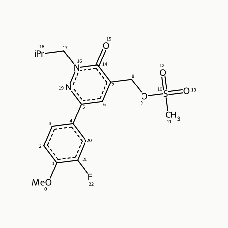 COc1ccc(-c2cc(COS(C)(=O)=O)c(=O)n(CC(C)C)n2)cc1F